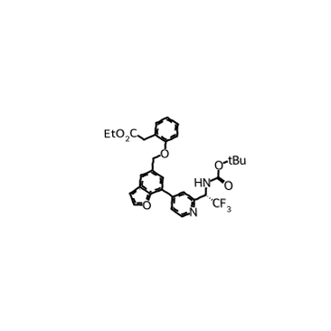 CCOC(=O)Cc1ccccc1OCc1cc(-c2ccnc([C@H](NC(=O)OC(C)(C)C)C(F)(F)F)c2)c2occc2c1